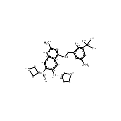 Cc1nc(NCc2cc(N)cc(C(F)(F)F)c2F)c2cc(O[C@H]3CCOC3)c([S+]([O-])C3COC3)cc2n1